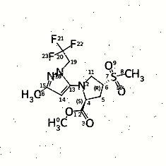 COC(=O)[C@@H]1C[C@@H](S(C)(=O)=O)CN1c1cc(C)nn1CC(F)(F)F